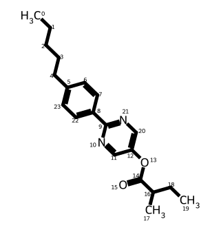 CCCCCc1ccc(-c2ncc(OC(=O)C(C)CC)cn2)cc1